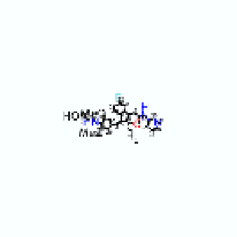 COc1cc(/C=C2/C(C)=C(CC(=O)Nc3cccnc3)c3cc(F)ccc32)cc(OC)c1NCC(=O)O